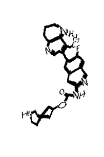 Cc1c(-c2cc3cc(NC(=O)OC4CC5(CCNC5)C4)ncc3cc2F)cnc2c1NCCC2